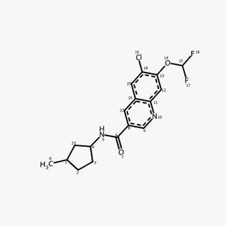 CC1CCC(NC(=O)c2cnc3cc(OC(F)F)c(Cl)cc3c2)C1